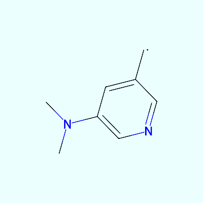 [CH2]c1cncc(N(C)C)c1